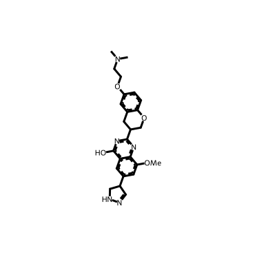 COc1cc(C2C=NNC2)cc2c(O)nc(C3COc4ccc(OCCN(C)C)cc4C3)nc12